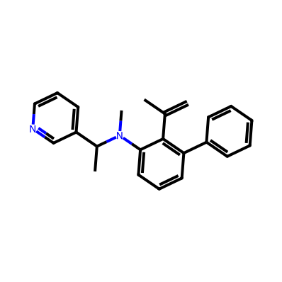 C=C(C)c1c(-c2ccccc2)cccc1N(C)C(C)c1cccnc1